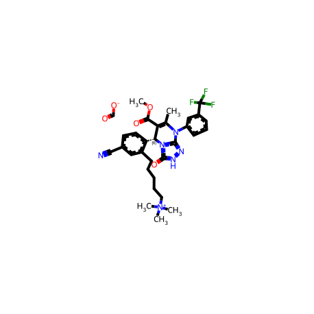 COC(=O)C1=C(C)N(c2cccc(C(F)(F)F)c2)c2n[nH]c(=O)n2[C@@H]1c1ccc(C#N)cc1CCCCC[N+](C)(C)C.O=C[O-]